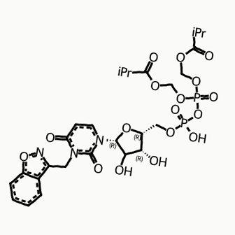 CC(C)C(=O)OCOP(=O)(OCOC(=O)C(C)C)OP(=O)(O)OC[C@H]1O[C@@H](n2ccc(=O)n(Cc3noc4ccccc34)c2=O)C(O)[C@H]1O